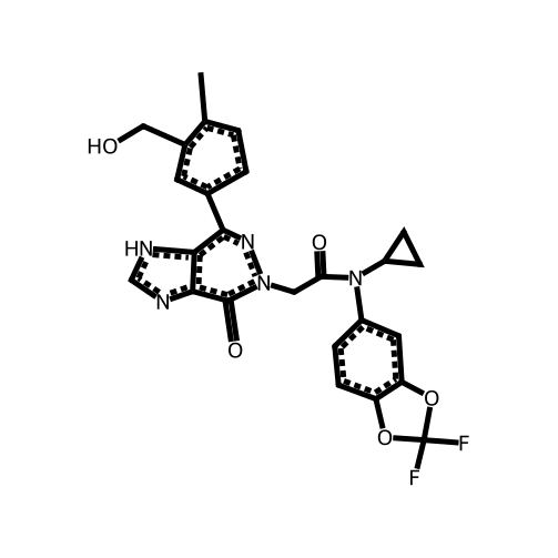 Cc1ccc(-c2nn(CC(=O)N(c3ccc4c(c3)OC(F)(F)O4)C3CC3)c(=O)c3nc[nH]c23)cc1CO